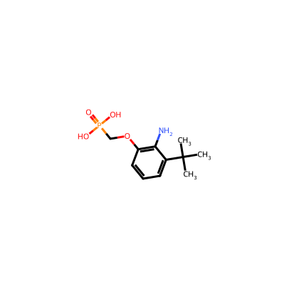 CC(C)(C)c1cccc(OCP(=O)(O)O)c1N